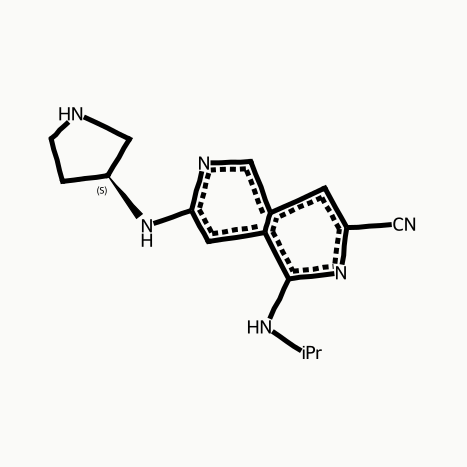 CC(C)Nc1nc(C#N)cc2cnc(N[C@H]3CCNC3)cc12